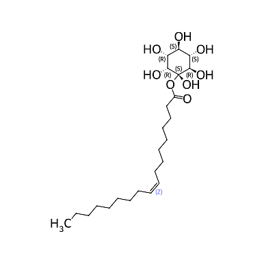 CCCCCCCC/C=C\CCCCCCCC(=O)O[C@]1(O)[C@H](O)[C@H](O)[C@@H](O)[C@H](O)[C@H]1O